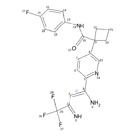 N=C(/C=C(\N)c1ccc(C2(C(=O)Nc3ccc(F)cc3)CCC2)cn1)C(F)(F)F